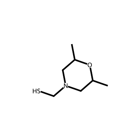 CC1CN(CS)CC(C)O1